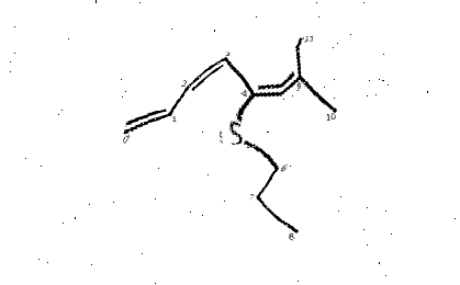 C=C/C=C\C(SCCC)=C(C)C